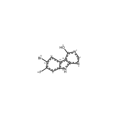 Oc1ncnc2[nH]c3cc(F)c(Br)cc3c12